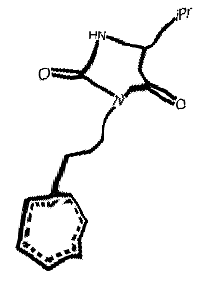 CC(C)C1NC(=O)N(CCc2ccccc2)C1=O